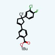 Cc1cc(C2=CCC(c3ccc(F)c(Cl)c3)(C(F)(F)F)C2)ccc1C(=O)OC(C)(C)C